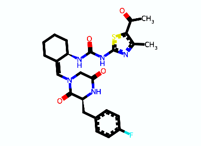 CC(=O)c1sc(NC(=O)N[C@@H]2CCCC/C2=C/N2CC(=O)N[C@@H](Cc3ccc(F)cc3)C2=O)nc1C